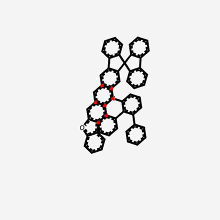 c1ccc(-c2ccccc2-c2c(-c3ccccc3)cccc2N(c2ccc3c(c2)C2(c4ccccc4-c4ccccc42)c2ccccc2-3)c2ccc3oc4ccccc4c3c2)cc1